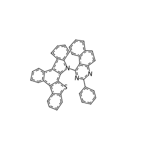 c1ccc(-c2nc(-n3c4ccccc4c4c5ccccc5c5c6ccccc6sc5c43)c3c(ccc4ccccc43)n2)cc1